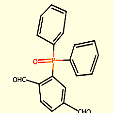 O=Cc1ccc(C=O)c(P(=O)(c2ccccc2)c2ccccc2)c1